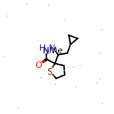 CNC(=O)C1(C(N)CC2CC2)CCCS1